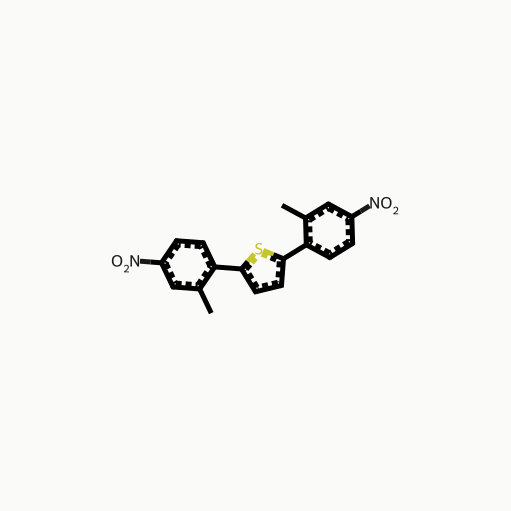 Cc1cc([N+](=O)[O-])ccc1-c1ccc(-c2ccc([N+](=O)[O-])cc2C)s1